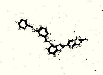 Cc1nn2cc(-c3cc4c(OCc5cccc(OCc6ccccc6)c5)cccc4o3)nc2s1